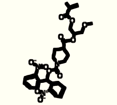 C=C(C)C(=O)OCC(COC)OC(=O)C1CCN(C(=O)OC(c2ccccc2[N+](=O)[O-])c2ccccc2[N+](=O)[O-])CC1